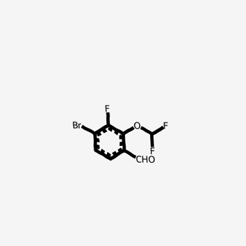 O=Cc1ccc(Br)c(F)c1OC(F)F